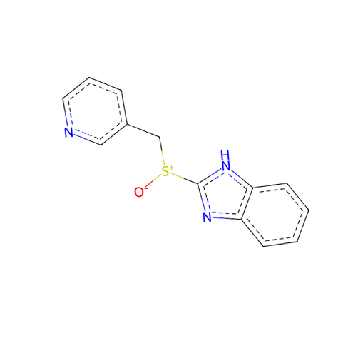 [O-][S+](Cc1cccnc1)c1nc2ccccc2[nH]1